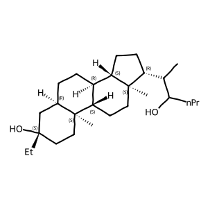 CCCC(O)C(C)[C@H]1CC[C@H]2[C@@H]3CC[C@@H]4C[C@](O)(CC)CC[C@]4(C)[C@H]3CC[C@]12C